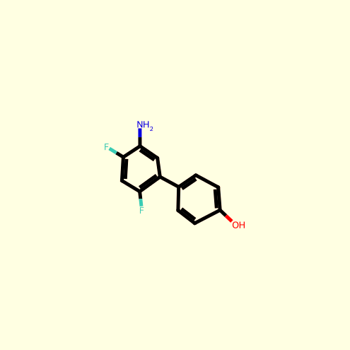 Nc1cc(-c2ccc(O)cc2)c(F)cc1F